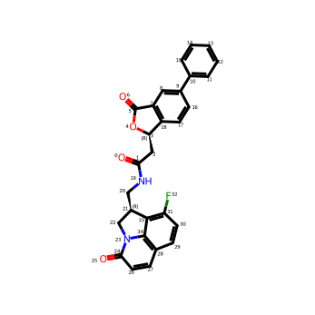 O=C(C[C@H]1OC(=O)c2cc(-c3ccccc3)ccc21)NC[C@@H]1Cn2c(=O)ccc3ccc(F)c1c32